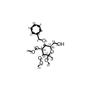 COO[C@H]1[C@H](OCc2ccccc2)[C@@H](CO)O[C@](C)(OC)[C@@H]1OOC